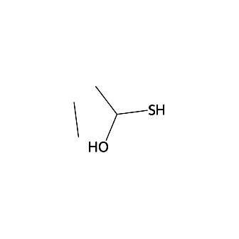 CC.CC(O)S